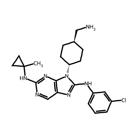 CC1(Nc2ncc3nc(Nc4cccc(Cl)c4)n([C@H]4CC[C@H](CN)CC4)c3n2)CC1